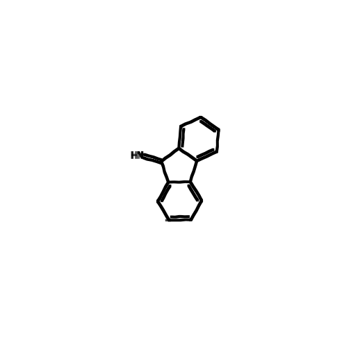 N=C1c2c[c]ccc2-c2ccccc21